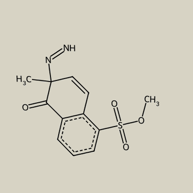 COS(=O)(=O)c1cccc2c1C=CC(C)(N=N)C2=O